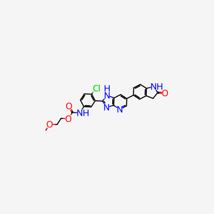 COCCOC(=O)Nc1ccc(Cl)c(-c2nc3ncc(-c4ccc5c(c4)CC(=O)N5)cc3[nH]2)c1